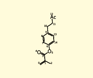 C=C(C)C(=O)Oc1ccc(CCC(C)=O)cc1